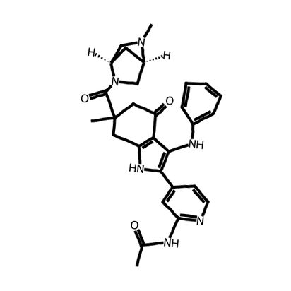 CC(=O)Nc1cc(-c2[nH]c3c(c2Nc2ccccc2)C(=O)CC(C)(C(=O)N2C[C@H]4C[C@@H]2CN4C)C3)ccn1